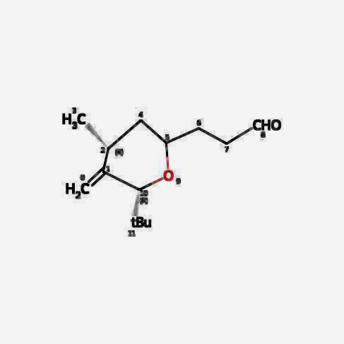 C=C1[C@H](C)CC(CCC=O)O[C@@H]1C(C)(C)C